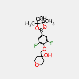 CC1(C)OB(c2cc(F)c(OCC3(O)CCOCC3)c(F)c2)OC1(C)C